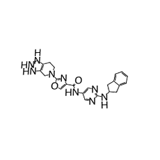 O=C(Nc1cnc(NC2Cc3ccccc3C2)nc1)c1coc(N2CCC3=C(C2)NNN3)n1